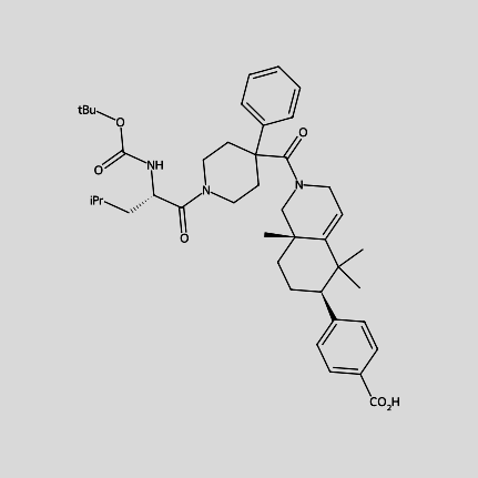 CC(C)C[C@H](NC(=O)OC(C)(C)C)C(=O)N1CCC(C(=O)N2CC=C3C(C)(C)[C@@H](c4ccc(C(=O)O)cc4)CC[C@]3(C)C2)(c2ccccc2)CC1